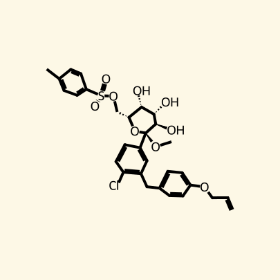 C=CCOc1ccc(Cc2cc([C@]3(OC)O[C@H](COS(=O)(=O)c4ccc(C)cc4)[C@H](O)[C@H](O)[C@H]3O)ccc2Cl)cc1